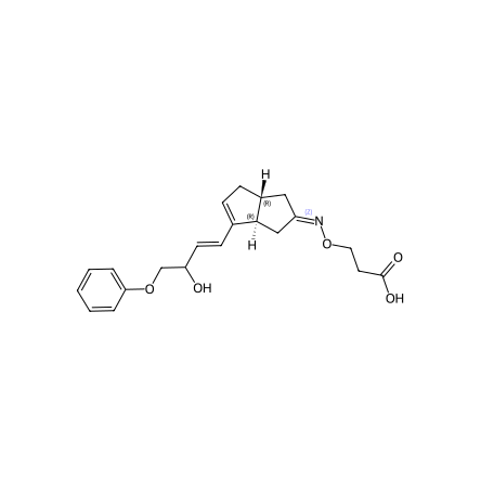 O=C(O)CCO/N=C1/C[C@H]2CC=C(C=CC(O)COc3ccccc3)[C@@H]2C1